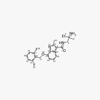 CCC(C)(N)CNC(=O)c1c(C)nc2c(OCc3c(F)cccc3F)cccn12